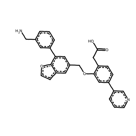 NCc1cccc(-c2cc(COc3cc(-c4cccnc4)ccc3CC(=O)O)cc3ccoc23)c1